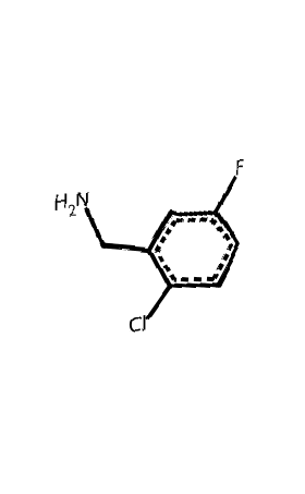 NCc1cc(F)ccc1Cl